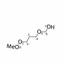 COOCCCOCO